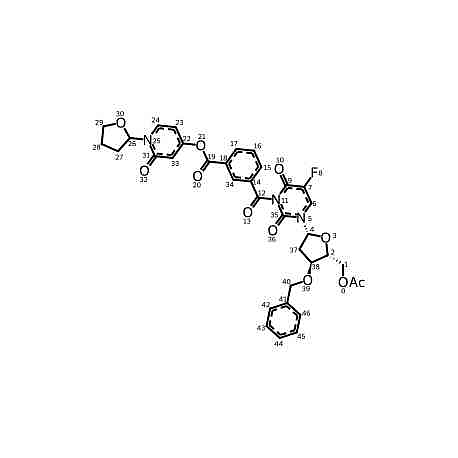 CC(=O)OC[C@H]1O[C@@H](n2cc(F)c(=O)n(C(=O)c3cccc(C(=O)Oc4ccn(C5CCCO5)c(=O)c4)c3)c2=O)C[C@@H]1OCc1ccccc1